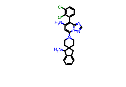 Nc1cc(N2CCC3(CC2)Cc2ccccc2C3N)n2ncnc2c1-c1cccc(Cl)c1Cl